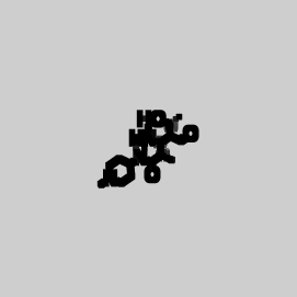 CN[C@@H](C(C=O)[C@@H](C)O)[C@@H](C)C(=O)NC1CCN(C)CC1